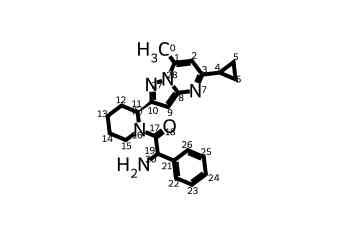 Cc1cc(C2CC2)nc2cc([C@@H]3CCCCN3C(=O)C(N)c3ccccc3)nn12